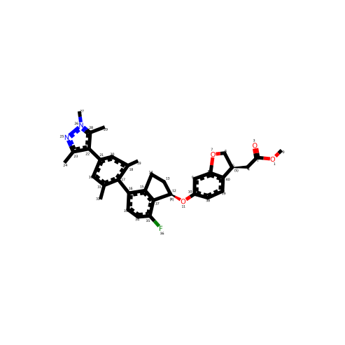 COC(=O)C[C@@H]1COc2cc(O[C@@H]3CCc4c(-c5c(C)cc(-c6c(C)nn(C)c6C)cc5C)ccc(F)c43)ccc21